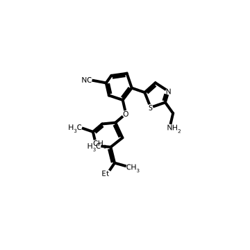 CC/C(C)=C(C)/C=C(\C=C(C)C)Oc1cc(C#N)ccc1-c1cnc(CN)s1